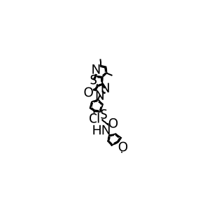 COc1ccc(NC(=O)CSc2cc(-n3cnc4c(sc5nc(C)cc(C)c54)c3=O)ccc2Cl)cc1